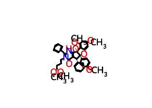 COc1ccc([C@@]23Oc4cc(OC)cc(OC)c4[C@]2(O)c2nc(-c4ccccc4)n(CCCC(OC)OC)c(=O)c2[C@H]3c2ccccc2)cc1